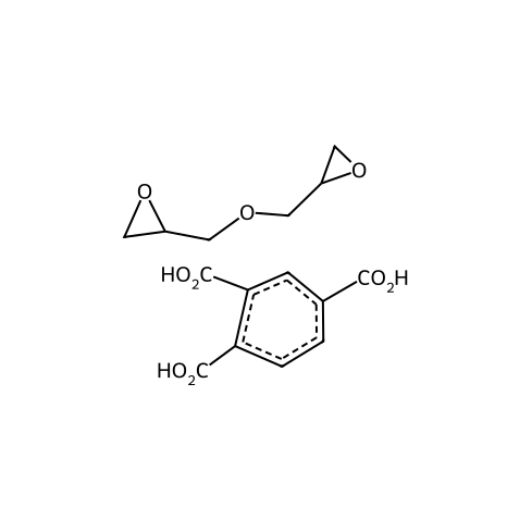 C(OCC1CO1)C1CO1.O=C(O)c1ccc(C(=O)O)c(C(=O)O)c1